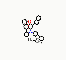 CC1(C)c2ccccc2-c2ccc(N(c3cc(-c4ccc5ccccc5c4)c4oc5ccccc5c4c3)c3ccccc3-c3ccccc3)cc21